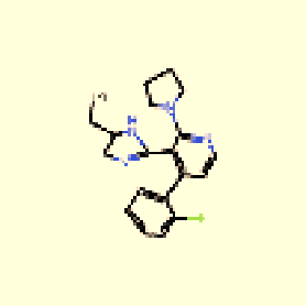 CC(C)CC1CN=C(c2c(-c3ccccc3F)ccnc2N2CCCC2)N1